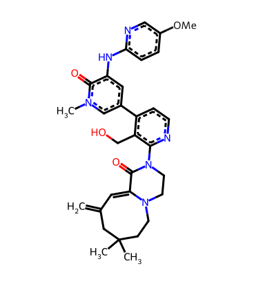 C=C1/C=C2/C(=O)N(c3nccc(-c4cc(Nc5ccc(OC)cn5)c(=O)n(C)c4)c3CO)CCN2CCC(C)(C)C1